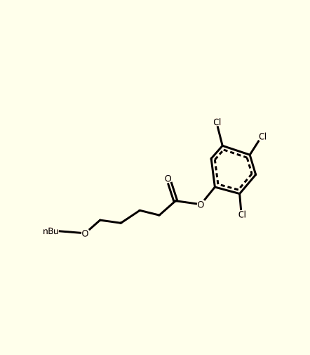 CCCCOCCCCC(=O)Oc1cc(Cl)c(Cl)cc1Cl